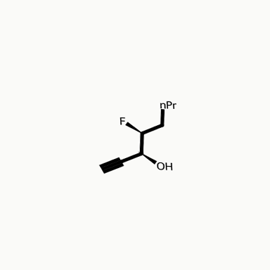 C#C[C@H](O)[C@@H](F)CCCC